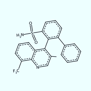 Cc1cnc2c(C(F)(F)F)cccc2c1-c1c(-c2ccccc2)cccc1S(N)(=O)=O